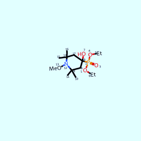 CCOP(=O)(OCC)C1(O)CC(C)(C)N(OC)C(C)(C)C1